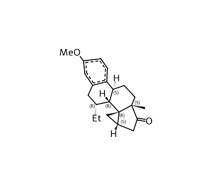 CC[C@@H]1Cc2cc(OC)ccc2[C@H]2CC[C@]3(C)C(=O)C[C@@H]4C[C@]43[C@H]12